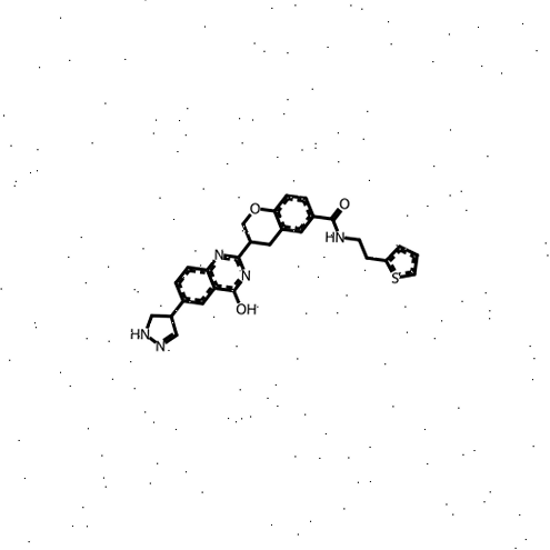 O=C(NCCc1cccs1)c1ccc2c(c1)CC(c1nc(O)c3cc(C4C=NNC4)ccc3n1)CO2